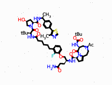 CC(=O)N1CCC2=CC[C@@H](C(=O)N[C@@H](CCC(N)=O)COc3cccc(CCCCCC(=O)N[C@H](C(=O)N4C[C@H](O)C[C@H]4C(=O)N[C@@H](C)c4ccc(-c5scnc5C)cc4)C(C)(C)C)c3F)N2C(=O)[C@@H](NC(=O)OC(C)(C)C)C1